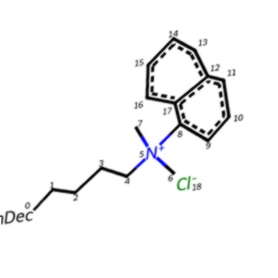 CCCCCCCCCCCCCC[N+](C)(C)c1cccc2ccccc12.[Cl-]